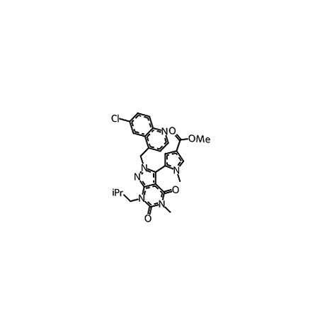 COC(=O)c1cc(-c2c3c(=O)n(C)c(=O)n(CC(C)C)c3nn2Cc2ccnc3ccc(Cl)cc23)n(C)c1